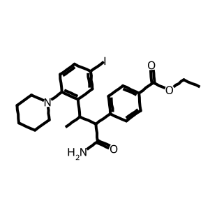 CCOC(=O)c1ccc(C(C(N)=O)C(C)c2cc(I)ccc2N2CCCCC2)cc1